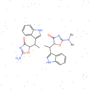 CC(=O)N(C(C)=O)C1=NC(=O)C(C(C)c2c[nH]c3ccccc23)O1.CC(c1c[nH]c2ccccc12)C1OC(N)=NC1=O